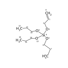 C=CCO[Si](OCCC)(OCCC)OCCC